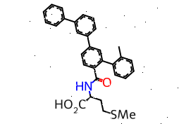 CSCC[C@H](NC(=O)c1ccc(-c2cccc(-c3ccccc3)c2)cc1-c1ccccc1C)C(=O)O